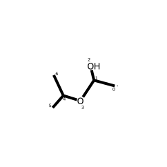 [CH2]C(O)OC(C)C